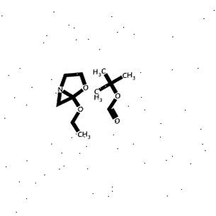 CC(C)(C)OC=O.CCOC12CN1CCO2